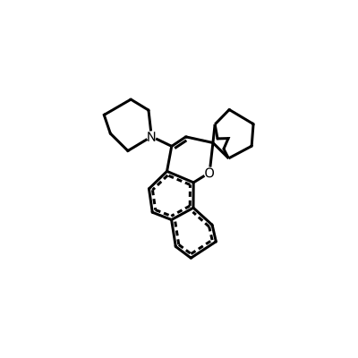 C1=C(N2CCCCC2)c2ccc3ccccc3c2OC12C1CCCC2CCC1